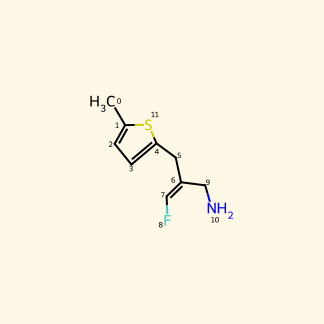 Cc1ccc(CC(=CF)CN)s1